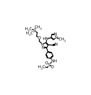 CCS(=O)(=O)Nc1ccc(-c2nn(COCC[Si](C)(C)C)c(Nc3cnn(C)c3)c2C#N)cc1